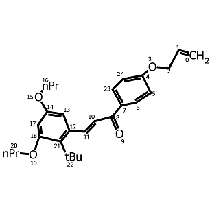 C=CCOc1ccc(C(=O)C=Cc2cc(OCCC)cc(OCCC)c2C(C)(C)C)cc1